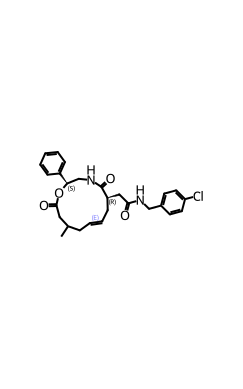 CC1C/C=C/C[C@H](CC(=O)NCc2ccc(Cl)cc2)C(=O)NC[C@H](c2ccccc2)OC(=O)C1